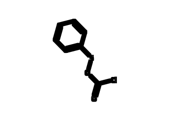 O=C(Cl)OSc1ccccc1